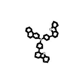 c1ccc2c(c1)ccc1cc(N(c3ccc(-c4cccc5c4oc4ccccc45)cc3)c3ccc(-c4cccc5c4oc4ccccc45)cc3)ccc12